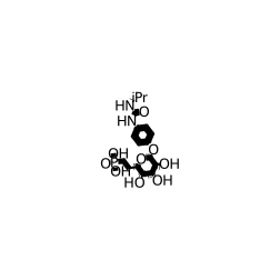 CC(C)NC(=O)Nc1ccc(O[C@H]2O[C@H](CCP(=O)(O)O)[C@@H](O)[C@H](O)[C@@H]2O)cc1